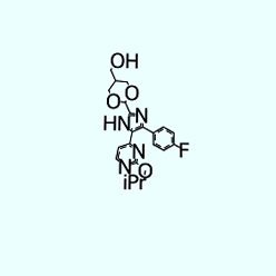 CC(C)Oc1nccc(-c2[nH]c(C3OCC(CO)CO3)nc2-c2ccc(F)cc2)n1